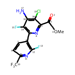 COC(=O)c1nc(-c2ccc(C(F)(F)F)nc2F)c(F)c(N)c1Cl